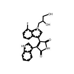 O=C1NC(=O)C(c2cn(CC(O)CO)c3c(F)cccc23)=C1c1c[nH]c2ccccc12